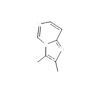 Cc1nc2ccncn2c1C(C)C